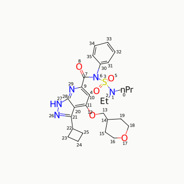 CCCN(CC)S(=O)(=O)N(C(=O)c1cc(OCC2CCOCC2)c2c(C3CCC3)n[nH]c2n1)c1ccccc1